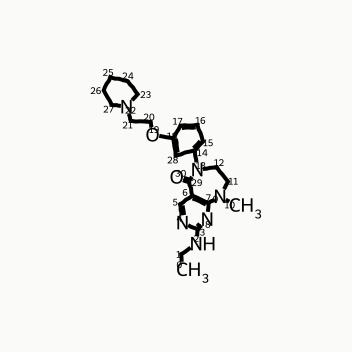 CCNc1ncc2c(n1)N(C)CCN(c1cccc(OCCN3CCCCC3)c1)C2=O